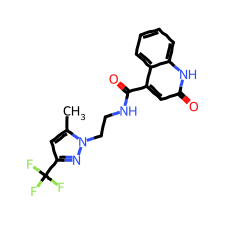 Cc1cc(C(F)(F)F)nn1CCNC(=O)c1cc(=O)[nH]c2ccccc12